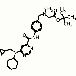 CN(CC(=O)OC(C)(C)C)Cc1ccc(NC(=O)c2cc(N(CC3CC3)C3CCCCC3)ncn2)cc1